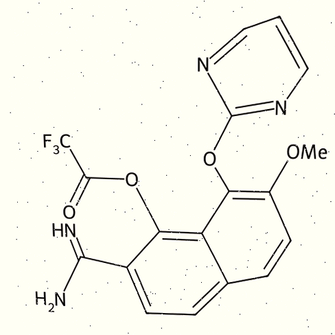 COc1ccc2ccc(C(=N)N)c(OC(=O)C(F)(F)F)c2c1Oc1ncccn1